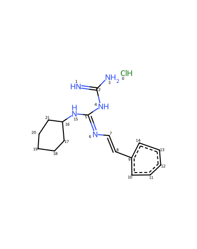 Cl.N=C(N)NC(=NC=Cc1ccccc1)NC1CCCCC1